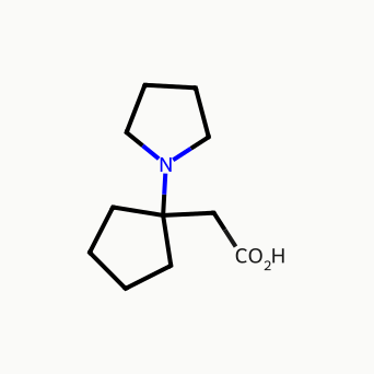 O=C(O)CC1(N2CCCC2)CCCC1